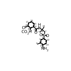 Cc1cc(S(=O)(=O)CC(C)(C)NC(=O)c2cccc(Cl)c2C(=O)O)ccc1N